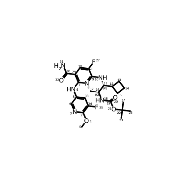 COc1ncc(Nc2nc(N[C@H](C3CCC3)[C@H](C)NC(=O)OC(C)(C)C)c(F)cc2C(N)=O)cc1F